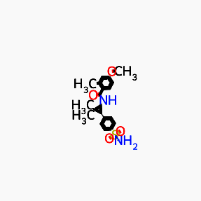 COc1ccc(C(=O)N[C@H]2[C@H](c3ccc(S(N)(=O)=O)cc3)C2(C)C)c(C)c1